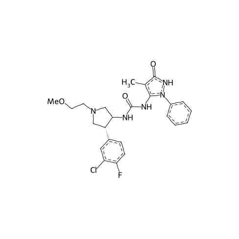 COCCN1CC(NC(=O)Nc2c(C)c(=O)[nH]n2-c2ccccc2)[C@H](c2ccc(F)c(Cl)c2)C1